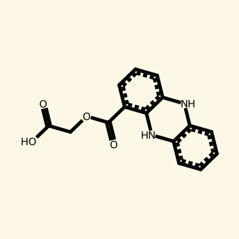 O=C(O)COC(=O)c1cccc2c1Nc1ccccc1N2